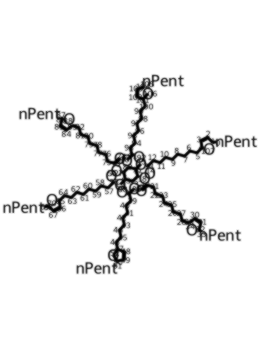 CCCCCC1C=CC(CCCCCCCCC(=O)OC2C(OC(=O)CCCCCCCCC3C=CC(CCCCC)O3)C(OC(=O)CCCCCCCCC3C=CC(CCCCC)O3)C(OC(=O)CCCCCCCCC3C=CC(CCCCC)O3)C(OC(=O)CCCCCCCCC3C=CC(CCCCC)O3)C2OC(=O)CCCCCCCCC2C=CC(CCCCC)O2)O1